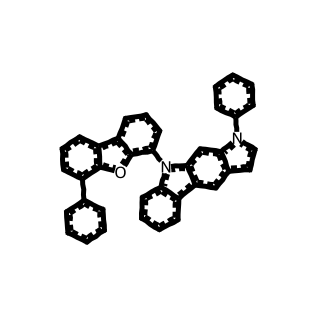 c1ccc(-c2cccc3c2oc2c(-n4c5ccccc5c5cc6ccn(-c7ccccc7)c6cc54)cccc23)cc1